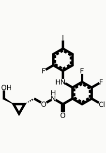 O=C(NOC[C@@H]1C[C@H]1CO)c1cc(Cl)c(F)c(F)c1Nc1ccc(I)cc1F